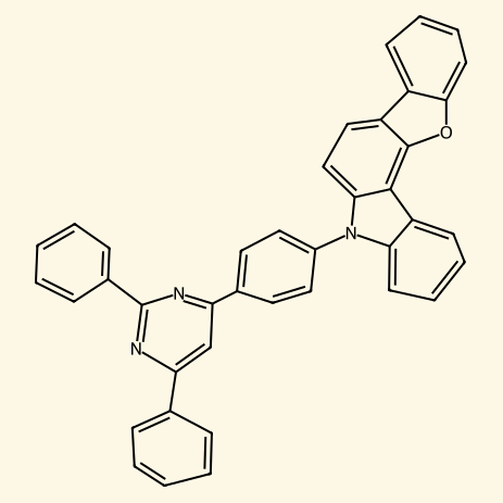 c1ccc(-c2cc(-c3ccc(-n4c5ccccc5c5c6oc7ccccc7c6ccc54)cc3)nc(-c3ccccc3)n2)cc1